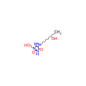 CCCC(O)CCCCCCn1cnc2c1c(=O)[nH]c(=O)n2CCO